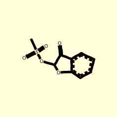 CS(=O)(=O)OC1Oc2ccccc2C1=O